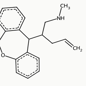 C=CCC(CNC)C1c2ccccc2COc2ccccc21